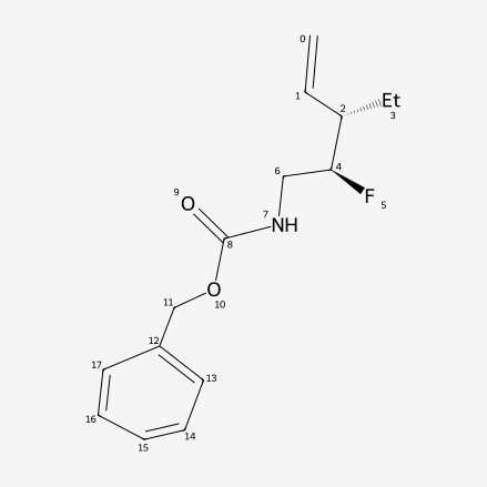 C=C[C@H](CC)[C@@H](F)CNC(=O)OCc1ccccc1